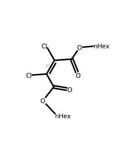 CCCCCCOC(=O)/C(Cl)=C(/Cl)C(=O)OCCCCCC